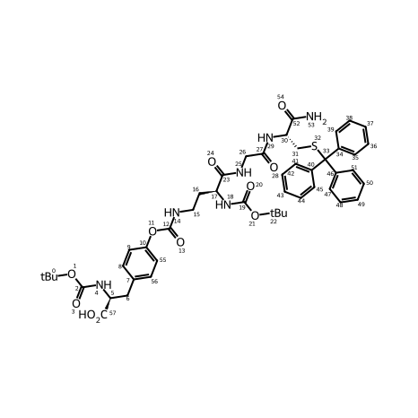 CC(C)(C)OC(=O)N[C@@H](Cc1ccc(OC(=O)NCC[C@H](NC(=O)OC(C)(C)C)C(=O)NCC(=O)N[C@@H](CSC(c2ccccc2)(c2ccccc2)c2ccccc2)C(N)=O)cc1)C(=O)O